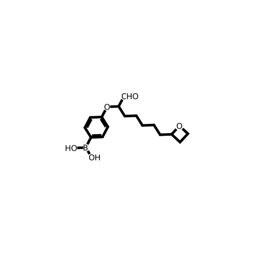 O=CC(CCCCCC1CCO1)Oc1ccc(B(O)O)cc1